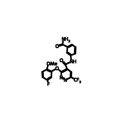 COc1ccc(F)cc1Oc1nnc(C(F)(F)F)cc1C(=O)Nc1cccc(C(N)=O)c1